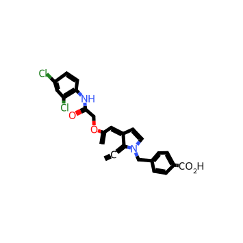 C=C=c1/c(=C\C(=C)OCC(=O)Nc2ccc(Cl)cc2Cl)ccn1Cc1ccc(C(=O)O)cc1